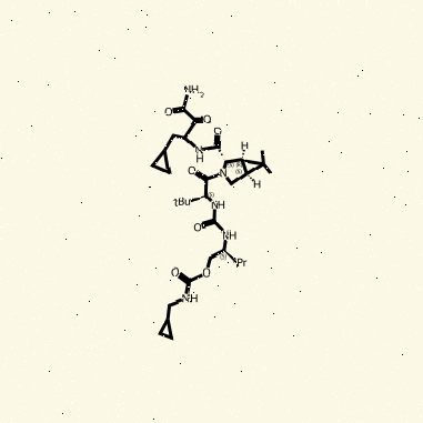 CC(C)[C@@H](COC(=O)NCC1CC1)NC(=O)N[C@H](C(=O)N1C[C@H]2[C@@H]([C@H]1C(=O)NC(CC1CC1)C(=O)C(N)=O)C2(C)C)C(C)(C)C